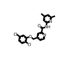 Cc1cc(C)nc(NC(=O)c2cc(COc3cc(Cl)ccc3Cl)ccn2)c1